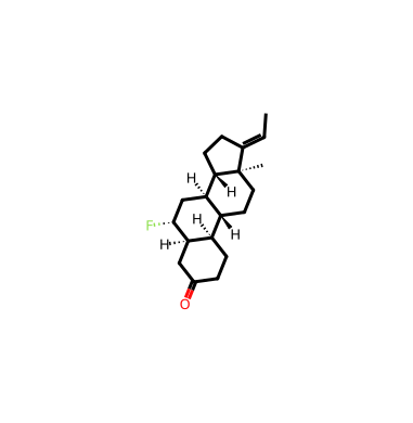 CC=C1CC[C@H]2[C@@H]3C[C@@H](F)[C@@H]4CC(=O)CC[C@@H]4[C@H]3CC[C@]12C